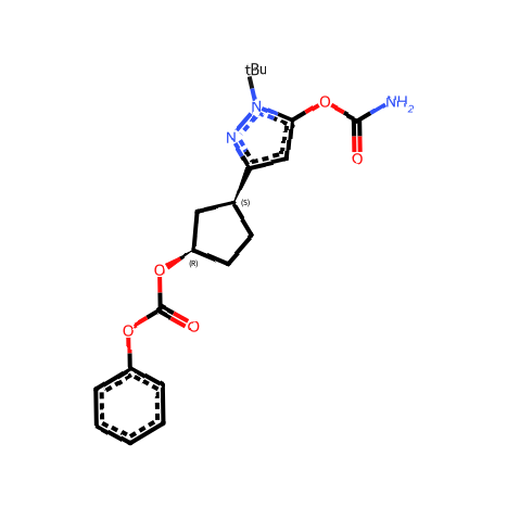 CC(C)(C)n1nc([C@H]2CC[C@@H](OC(=O)Oc3ccccc3)C2)cc1OC(N)=O